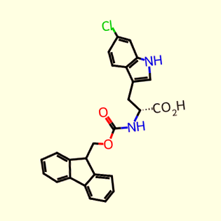 O=C(N[C@H](Cc1c[nH]c2cc(Cl)ccc12)C(=O)O)OCC1c2ccccc2-c2ccccc21